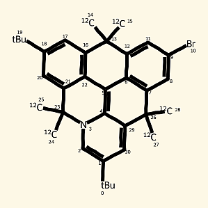 CC(C)(C)C1=CN2C3=C4c5c(cc(Br)cc5C([12CH3])([12CH3])c5cc(C(C)(C)C)cc(c54)C2([12CH3])[12CH3])C([12CH3])([12CH3])C3=C1